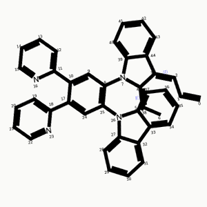 C=C/C=c1\c(=C/C)n(-c2cc(-c3ccccn3)c(-c3ccccn3)cc2-n2c3ccccc3c3ccccc32)c2ccccc12